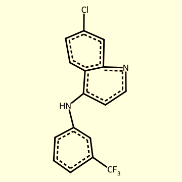 FC(F)(F)c1cccc(Nc2ccnc3cc(Cl)ccc23)c1